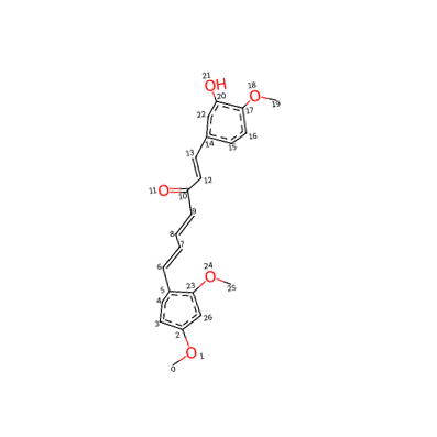 COc1ccc(C=CC=CC(=O)C=Cc2ccc(OC)c(O)c2)c(OC)c1